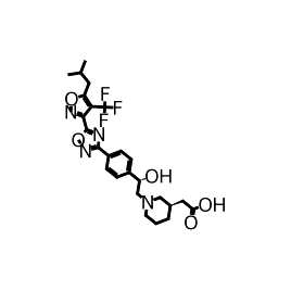 CC(C)Cc1onc(-c2nc(-c3ccc([C@H](O)CN4CCC[C@H](CC(=O)O)C4)cc3)no2)c1C(F)(F)F